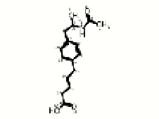 CC(=O)N[C@H](C)Cc1ccc(CCCCC(=O)O)cc1